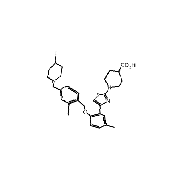 Cc1ccc(OCc2ccc(CN3CCC(F)CC3)cc2C)c(-c2csc(N3CCC(C(=O)O)CC3)n2)c1